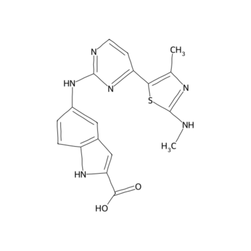 CNc1nc(C)c(-c2ccnc(Nc3ccc4[nH]c(C(=O)O)cc4c3)n2)s1